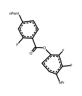 CCCCCc1ccc(C(=O)Oc2ccc(CCC)c(F)c2F)c(F)c1